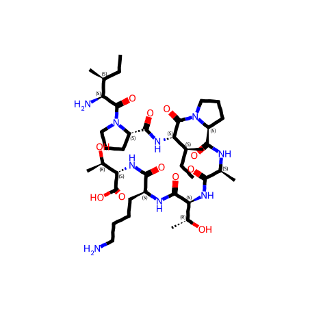 CC[C@H](C)[C@H](N)C(=O)N1CCC[C@H]1C(=O)N[C@H](C(=O)N1CCC[C@H]1C(=O)N[C@@H](C)C(=O)N[C@H](C(=O)N[C@@H](CCCCN)C(=O)N[C@H](C(=O)O)[C@@H](C)O)[C@@H](C)O)[C@@H](C)CC